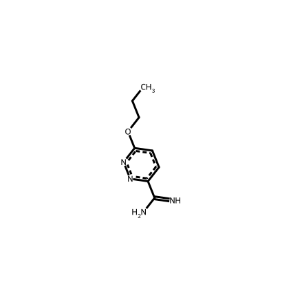 CCCOc1ccc(C(=N)N)nn1